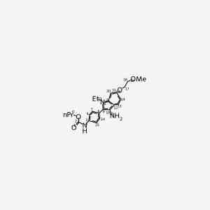 CCCOC(=O)Nc1ccc(-c2c(N)c3ccc(OCCOC)cc3n2CC)cc1